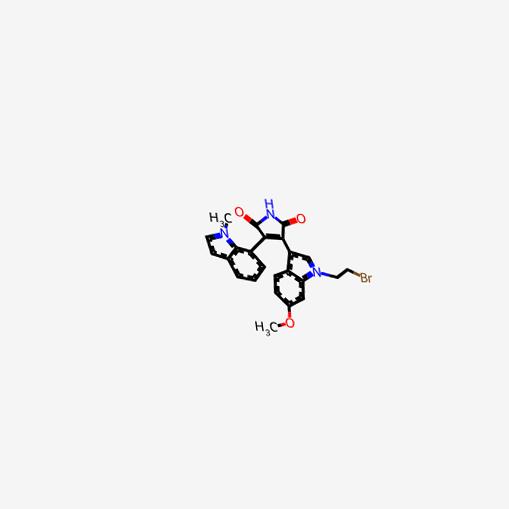 COc1ccc2c(C3=C(c4cccc5ccn(C)c45)C(=O)NC3=O)cn(CCBr)c2c1